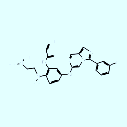 C=CC(=O)Nc1cc(Nc2cn3c(-c4cccc(F)c4)ncc3cn2)ccc1N(C)CCN(C)C